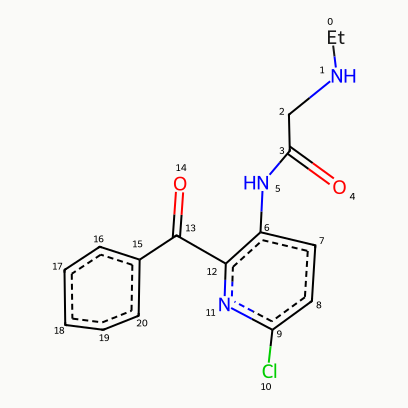 CCNCC(=O)Nc1ccc(Cl)nc1C(=O)c1ccccc1